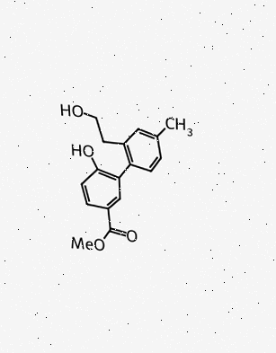 COC(=O)c1ccc(O)c(-c2ccc(C)cc2CCO)c1